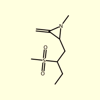 C=C1C(CC(CC)S(C)(=O)=O)N1C